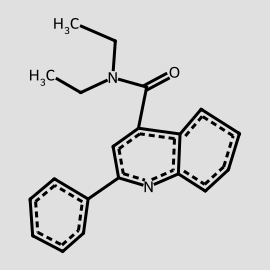 CCN(CC)C(=O)c1cc(-c2ccccc2)nc2ccccc12